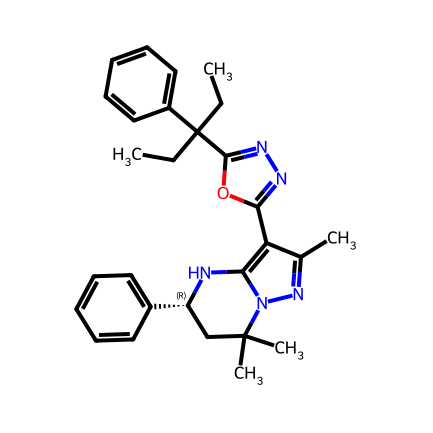 CCC(CC)(c1ccccc1)c1nnc(-c2c(C)nn3c2N[C@@H](c2ccccc2)CC3(C)C)o1